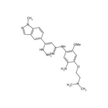 COc1cc(OCCN(C)C)c(N)cc1NC(=N)/C=C(\NN)c1ccc2c(cnn2C)c1